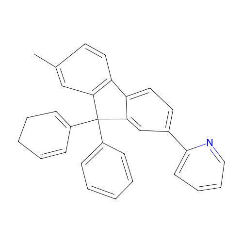 Cc1ccc2c(c1)C(C1=CCCC=C1)(c1ccccc1)c1cc(-c3ccccn3)ccc1-2